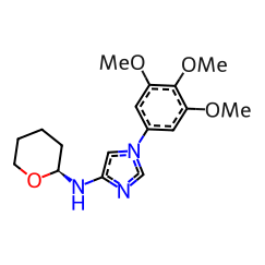 COc1cc(-n2cnc(N[C@@H]3CCCCO3)c2)cc(OC)c1OC